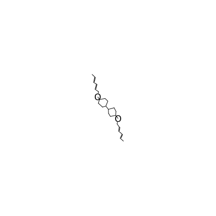 C/C=C/C=C/COC1CCC(C2CCC(OC/C=C/C=C/C)CC2)CC1